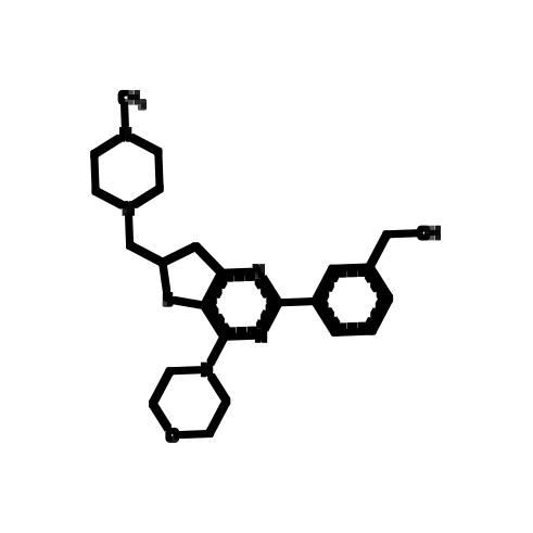 CN1CCN(CC2Cc3nc(-c4cccc(CO)c4)nc(N4CCOCC4)c3S2)CC1